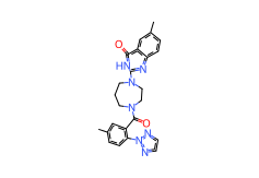 Cc1ccc(-n2nccn2)c(C(=O)N2CCCN(c3nc4ccc(C)cc4c(=O)[nH]3)CC2)c1